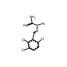 CC(=O)N(/N=C/c1c(Cl)ccc(Cl)c1Cl)C(=N)N